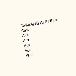 [As-3].[As-3].[As-3].[As-3].[As-3].[As-3].[As-3].[Ga+3].[Ga+3].[Ga+3].[Pt+4].[Pt+4].[Pt+4]